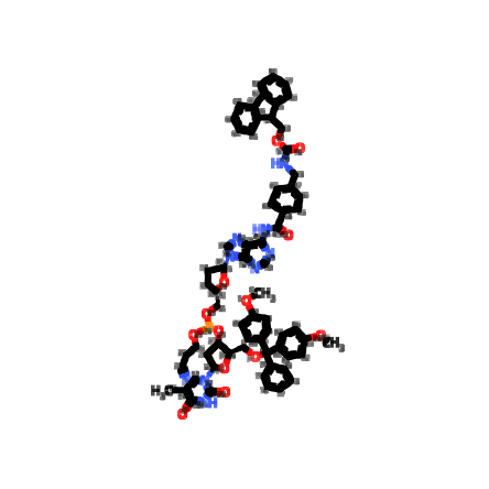 COc1ccc(C(OC[C@H]2O[C@@H](n3cc(C)c(=O)[nH]c3=O)CC2OP(OCCC#N)OC[C@@H]2CC[C@H](n3cnc4c(NC(=O)c5ccc(CNC(=O)OCC6c7ccccc7-c7ccccc76)cc5)ncnc43)O2)(c2ccccc2)c2ccc(OC)cc2)cc1